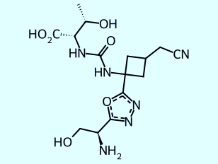 C[C@H](O)[C@H](NC(=O)NC1(c2nnc([C@@H](N)CO)o2)CC(CC#N)C1)C(=O)O